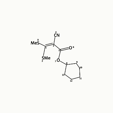 CSC(SC)=C(C#N)C(=O)OC1CCCCC1